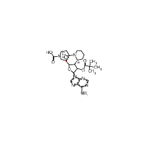 CSCC1OC(n2cnc3c(N)ncnc32)C(OC(=O)C(C)(C)C)C1[C@@H]1CCCCN1C1CCN(C(=O)O)CC1